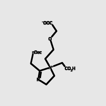 CCCCCCCCCCCC1=NCC[N+]1(CCOCC(=O)[O-])CC(=O)O